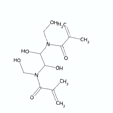 C=C(C)C(=O)N(CO)C(O)C(O)N(CO)C(=O)C(=C)C